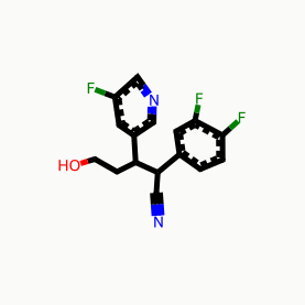 N#CC(c1ccc(F)c(F)c1)C(CCO)c1cncc(F)c1